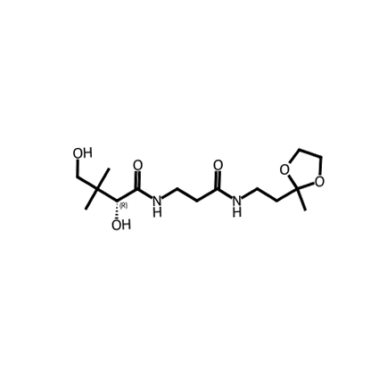 CC1(CCNC(=O)CCNC(=O)[C@H](O)C(C)(C)CO)OCCO1